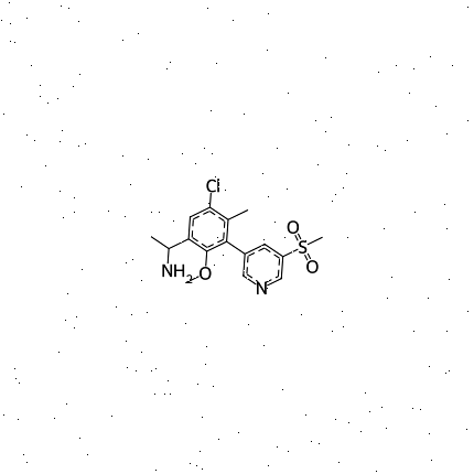 COc1c(C(C)N)cc(Cl)c(C)c1-c1cncc(S(C)(=O)=O)c1